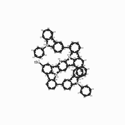 CC(C)(C)c1cc2c3cccc(-c4ccc5c(c4)c4ccccc4n5-c4ccccc4)c3n3c4cc5c6c7ccccc7cc7c8cccc(-c9ccc%10c(c9)c9ccccc9n%10-c9ccccc9)c8n(c5nc4c(c1)c23)c76